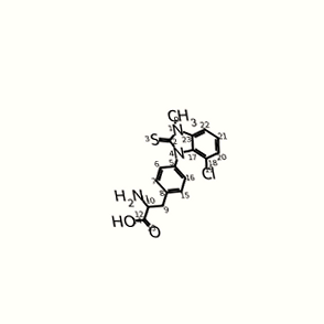 Cn1c(=S)n(-c2ccc(CC(N)C(=O)O)cc2)c2c(Cl)cccc21